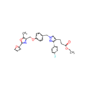 CCOC(=O)CCc1cn(Cc2ccc(OCc3nc(-c4ccco4)oc3C)cc2)nc1-c1ccc(F)cc1